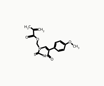 C=C(C)C(=O)OCn1cc(-c2ccc(OC)cc2)c(=O)[nH]c1=S